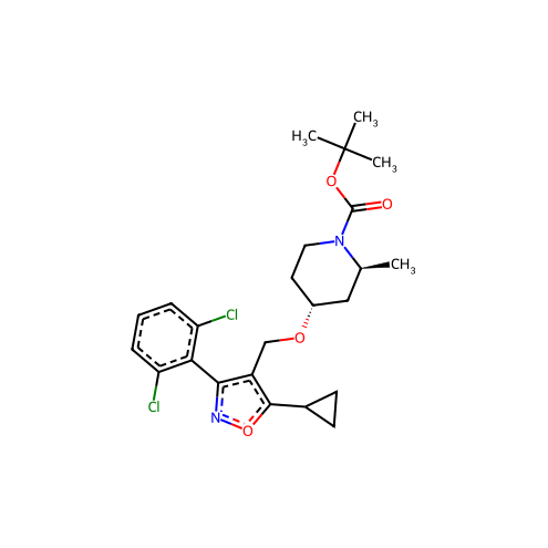 C[C@H]1C[C@H](OCc2c(-c3c(Cl)cccc3Cl)noc2C2CC2)CCN1C(=O)OC(C)(C)C